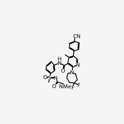 CNCC(=O)N=S(C)(=O)c1cccc(NC(=O)c2c(N3CCCC(F)(F)CC3)ncc(-c3ccc(C#N)cc3)c2C)c1